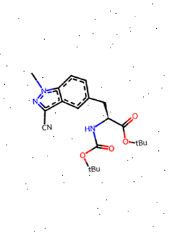 Cn1nc(C#N)c2cc(C[C@H](NC(=O)OC(C)(C)C)C(=O)OC(C)(C)C)ccc21